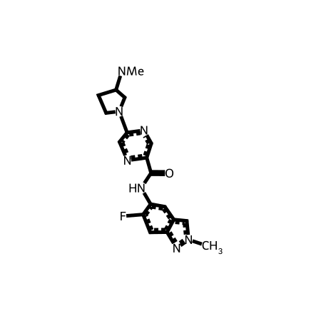 CNC1CCN(c2cnc(C(=O)Nc3cc4cn(C)nc4cc3F)cn2)C1